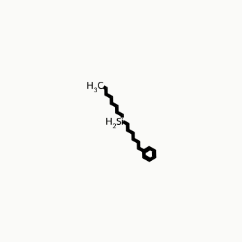 CCCCCCCC[SiH2]CCCCCCc1ccccc1